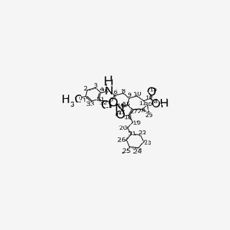 Cc1ccc(NC(=O)CC(CCC(=O)O)c2noc(CCC3CCCCC3)c2C2CC2)c(Cl)c1